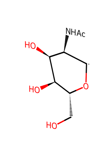 CC(=O)N[C@H]1[CH]O[C@H](CO)[C@@H](O)[C@H]1O